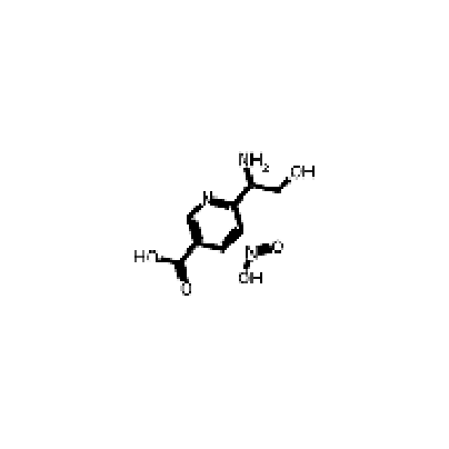 NC(CO)c1ccc(C(=O)O)cn1.O=NO